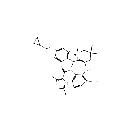 Cc1nc(C(=O)N2c3cccc(O)c3NC3=C(C2c2ccc(OCC4CC4)cc2F)S(=O)(=O)CC(C)(C)C3)c(C)o1